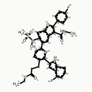 CCOC(=O)CCc1ccc(-c2cc3c(C(=O)NC)c(-c4ccc(F)cc4)oc3cc2N(C)S(C)(=O)=O)nc1-c1cc2c(F)cccc2[nH]1